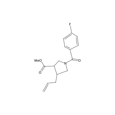 C=CCC1CN(C(=O)c2ccc(F)cc2)CC1C(=O)OC